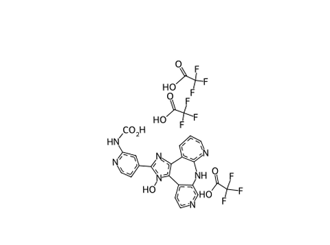 O=C(O)C(F)(F)F.O=C(O)C(F)(F)F.O=C(O)C(F)(F)F.O=C(O)Nc1cc(-c2nc3c(n2O)-c2ccncc2Nc2ncccc2-3)ccn1